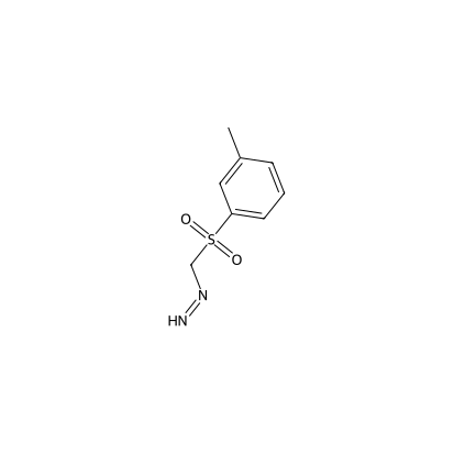 Cc1cccc(S(=O)(=O)CN=N)c1